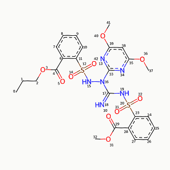 CCCOC(=O)c1ccccc1S(=O)(=O)NN(C(=N)NS(=O)(=O)c1ccccc1C(=O)OC)c1nc(OC)cc(OC)n1